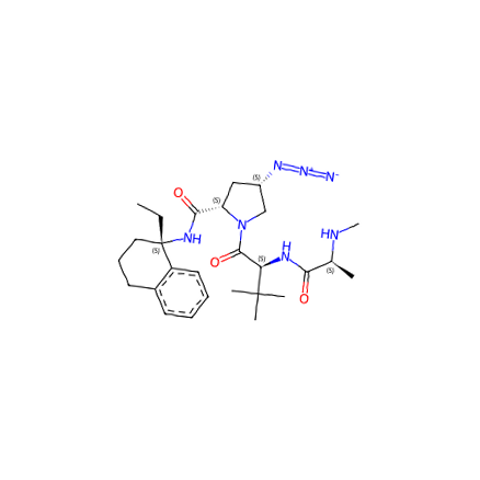 CC[C@]1(NC(=O)[C@@H]2C[C@H](N=[N+]=[N-])CN2C(=O)[C@@H](NC(=O)[C@H](C)NC)C(C)(C)C)CCCc2ccccc21